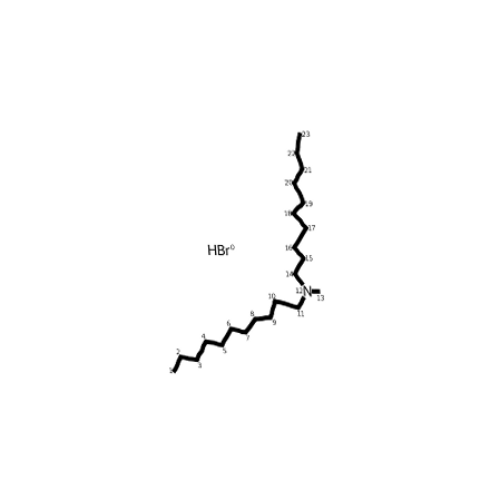 Br.CCCCCCCCCCCN(C)CCCCCCCCCC